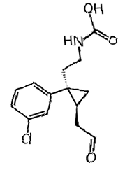 O=CC[C@@H]1C[C@]1(CCNC(=O)O)c1cccc(Cl)c1